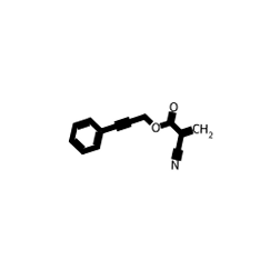 C=C(C#N)C(=O)OCC#Cc1ccccc1